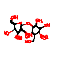 OCC1C[C@@H](O[C@H]2OC(CO)[C@@H](O)[C@H](O)C2O)C(O)C(O)[C@@H]1O